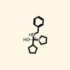 O[C@@](NCc1ccccc1)(C1CCCC1)N1CCCC1